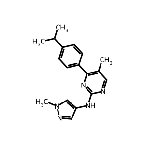 Cc1cnc(Nc2cnn(C)c2)nc1-c1ccc(C(C)C)cc1